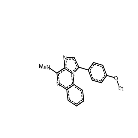 CCOc1ccc(-c2cnc3c(NC)nc4ccccc4n23)cc1